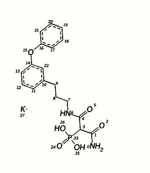 NC(=O)C(C(=O)NCCCc1cccc(Oc2ccccc2)c1)P(=O)(O)O.[K]